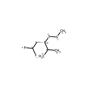 CSS[C@@H](CC(F)F)C(C)C